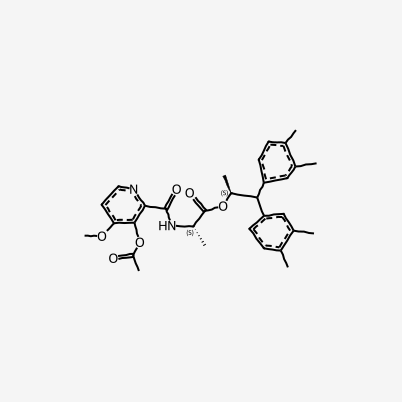 COc1ccnc(C(=O)N[C@@H](C)C(=O)O[C@@H](C)C(c2ccc(C)c(C)c2)c2ccc(C)c(C)c2)c1OC(C)=O